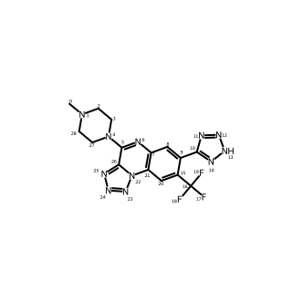 CN1CCN(c2nc3cc(-c4nn[nH]n4)c(C(F)(F)F)cc3n3nnnc23)CC1